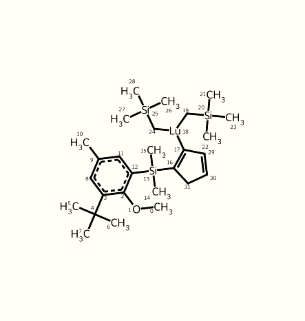 COc1c(C(C)(C)C)cc(C)cc1[Si](C)(C)C1=[C]([Lu]([CH2][Si](C)(C)C)[CH2][Si](C)(C)C)C=CC1